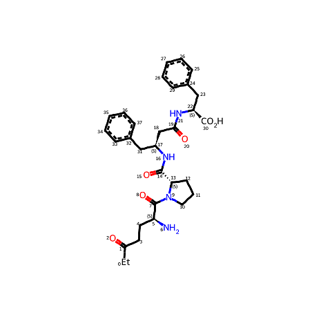 CCC(=O)CC[C@H](N)C(=O)N1CCC[C@H]1C(=O)N[C@H](CC(=O)N[C@@H](Cc1ccccc1)C(=O)O)Cc1ccccc1